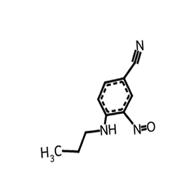 CCCNc1ccc(C#N)cc1N=O